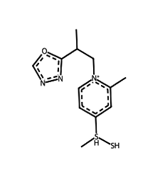 Cc1cc([SH](C)S)cc[n+]1CC(C)c1nnco1